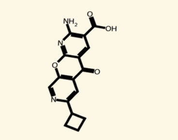 Nc1nc2oc3cnc(C4CCC4)cc3c(=O)c2cc1C(=O)O